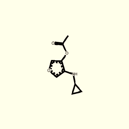 CC(=O)Oc1cocc1NC1CC1